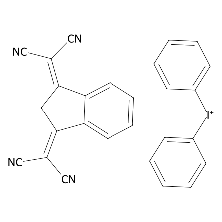 N#CC(C#N)=C1CC(=C(C#N)C#N)c2ccccc21.c1ccc([I+]c2ccccc2)cc1